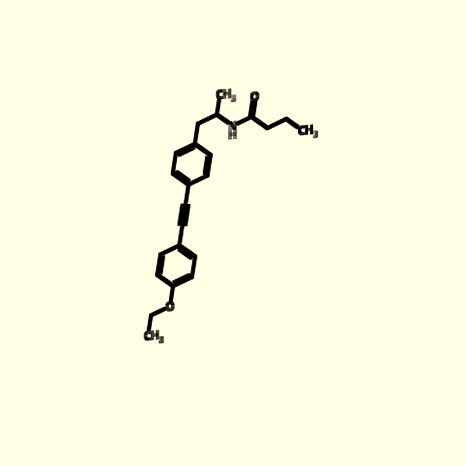 CCCC(=O)NC(C)Cc1ccc(C#Cc2ccc(OCC)cc2)cc1